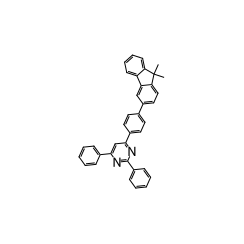 CC1(C)c2ccccc2-c2cc(-c3ccc(-c4cc(-c5ccccc5)nc(-c5ccccc5)n4)cc3)ccc21